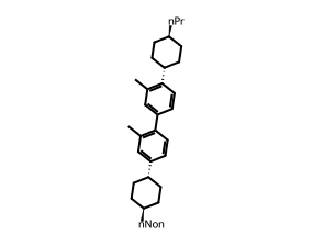 CCCCCCCCC[C@H]1CC[C@H](c2ccc(-c3ccc([C@H]4CC[C@H](CCC)CC4)c(C)c3)c(C)c2)CC1